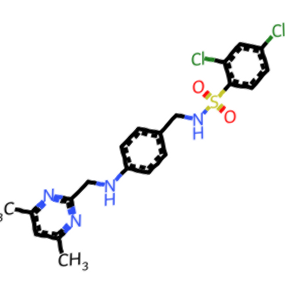 Cc1cc(C)nc(CNc2ccc(CNS(=O)(=O)c3ccc(Cl)cc3Cl)cc2)n1